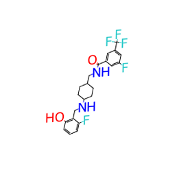 O=C(NCC1CCC(NCc2c(O)cccc2F)CC1)c1cc(F)cc(C(F)(F)F)c1